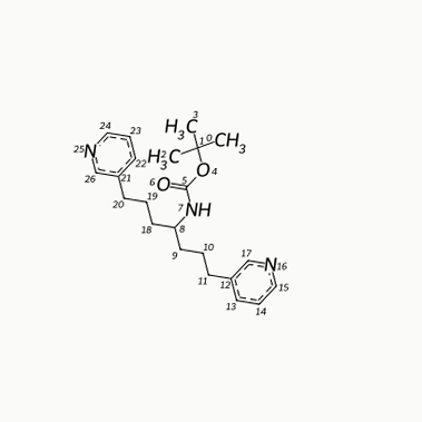 CC(C)(C)OC(=O)NC(CCCc1cccnc1)CCCc1cccnc1